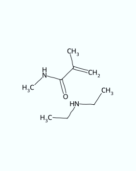 C=C(C)C(=O)NC.CCNCC